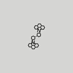 c1cc(-c2cccc(-n3c4cccc5ccc6cccc3c6c54)c2)cc(-n2c3cccc4ccc5cccc2c5c43)c1